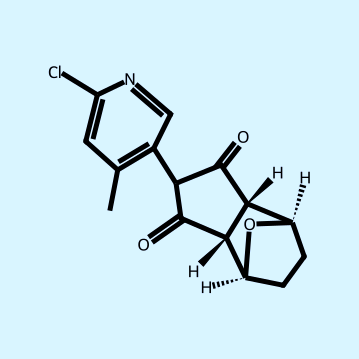 Cc1cc(Cl)ncc1C1C(=O)[C@@H]2[C@H](C1=O)[C@H]1CC[C@@H]2O1